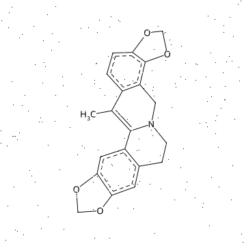 CC1=C2c3cc4c(cc3CCN2Cc2c1ccc1c2OCO1)OCO4